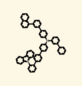 c1ccc(-c2cccc(N(c3ccc(-c4ccc(-c5ccccc5-n5c6ccccc6c6ccccc65)cc4)cc3)c3ccc(-c4cccc(-c5cccc6ccccc56)c4)cc3)c2)cc1